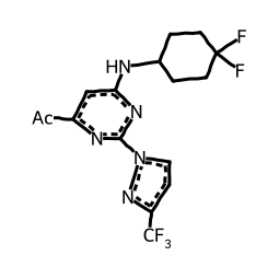 CC(=O)c1cc(NC2CCC(F)(F)CC2)nc(-n2ccc(C(F)(F)F)n2)n1